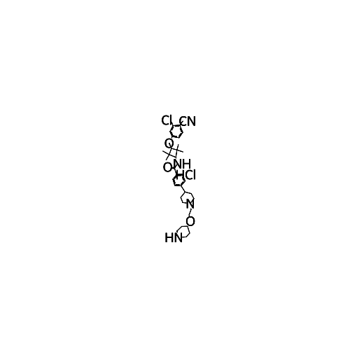 CC1(C)[C@H](NC(=O)c2ccc(C3CCN(CCOC4CCNCC4)CC3)cc2)C(C)(C)[C@H]1Oc1ccc(C#N)c(Cl)c1.Cl